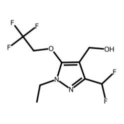 CCn1nc(C(F)F)c(CO)c1OCC(F)(F)F